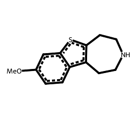 COc1ccc2c3c(sc2c1)CCNCC3